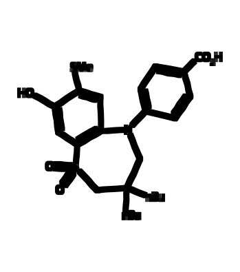 CCCCC1(CCCC)CN(c2ccc(C(=O)O)cc2)c2cc(SC)c(O)cc2S(=O)(=O)C1